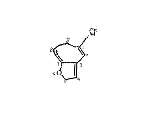 ClC1=CC2=CCOC2=CC1